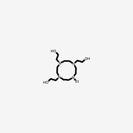 CCN1CCN(CCO)CCN(CCO)CCN(CCO)CC1